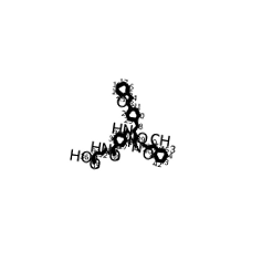 Cc1c(-c2nnc(C(Cc3ccc(-c4cc5ccccc5o4)cc3)Nc3ccc(C(=O)NCCC(=O)O)cc3)o2)oc2ccccc12